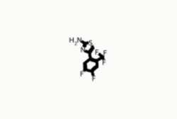 Nc1nc(-c2cc(F)c(F)cc2C(F)(F)F)cs1